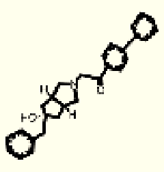 O=C(CN1C[C@@H]2C[C@@](O)(Cc3ccccc3)C[C@@H]2C1)c1ccc(-c2ccccc2)cc1